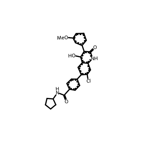 COc1cccc(-c2c(O)c3cc(-c4ccc(C(=O)NC5CCCC5)cc4)c(Cl)cc3[nH]c2=O)c1